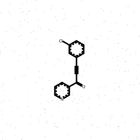 O=C(C#Cc1cccc(Cl)c1)c1cccnc1